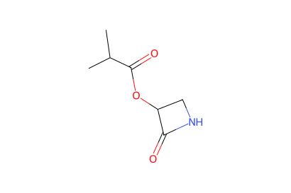 CC(C)C(=O)OC1CNC1=O